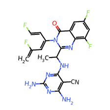 C=C(F)/C=C(\C=C\F)n1c(C(C)Nc2nc(N)nc(N)c2C#N)nc2c(F)cc(F)cc2c1=O